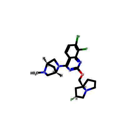 O=C(O)N1C[C@H]2C[C@@H]1CN2c1nc(OC[C@@]23CCCN2C[C@H](F)C3)nc2c(F)c(Br)ccc12